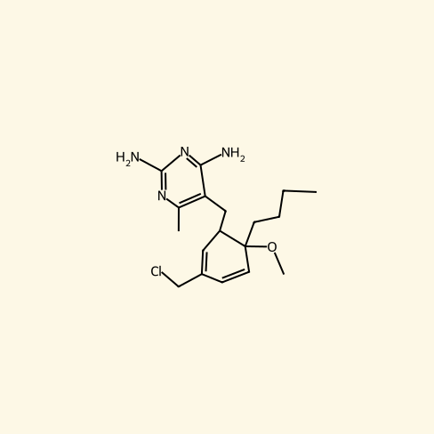 CCCCC1(OC)C=CC(CCl)=CC1Cc1c(C)nc(N)nc1N